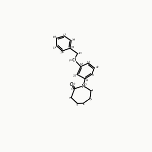 O=C1CCCCCN1c1cccc(OCc2ccccc2)c1